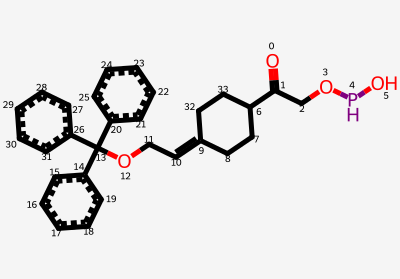 O=C(COPO)C1CCC(=CCOC(c2ccccc2)(c2ccccc2)c2ccccc2)CC1